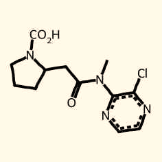 CN(C(=O)CC1CCCN1C(=O)O)c1nccnc1Cl